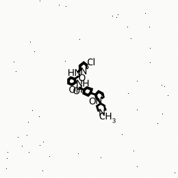 CN1CCC(n2cccc(-c3ccc(C(=O)Nc4c(O)cccc4C(=O)Nc4ccc(Cl)cn4)cc3)c2=O)CC1